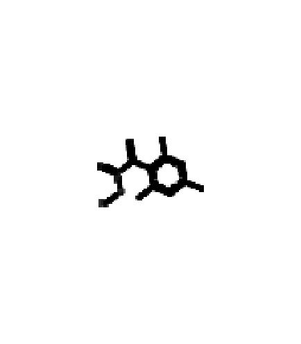 CCO[PH](=O)C(=O)c1c(C)cc(C)cc1C